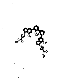 CCOC(=O)C1CN(C2CCc3cc(-c4cccc(-c5cccc(-c6cc7c(c(OC)c6)[C@@H](N6CC(C(=O)OCC)C6)CC7)c5Cl)c4Cl)cc(OC)c32)C1